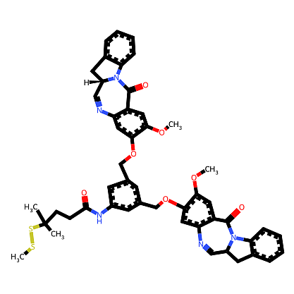 COc1cc2c(cc1OCc1cc(COc3cc4c(cc3OC)C(=O)N3c5ccccc5C[C@H]3C=N4)cc(NC(=O)CCC(C)(C)SSC)c1)N=CC1Cc3ccccc3N1C2=O